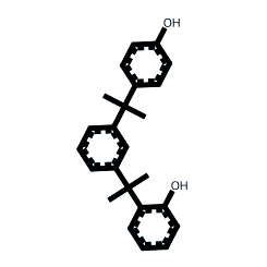 CC(C)(c1ccc(O)cc1)c1cccc(C(C)(C)c2ccccc2O)c1